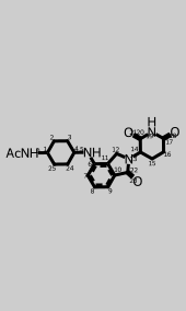 CC(=O)NC1CCC(Nc2cccc3c2CN(C2CCC(=O)NC2=O)C3=O)CC1